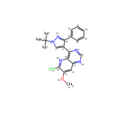 [2H]C([2H])([2H])n1cc(-c2ncnc3cc(OC)c(Cl)nc23)c(-c2ccccc2)n1